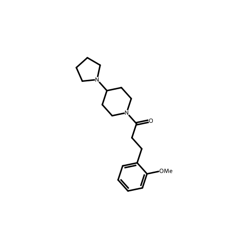 COc1ccccc1CCC(=O)N1CCC(N2CCCC2)CC1